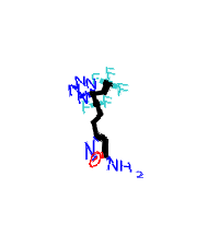 Nc1cc(CCC(F)(F)C2(CC(F)(F)F)N=NN=N2)no1